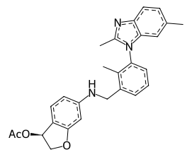 CC(=O)O[C@@H]1COc2cc(NCc3cccc(-n4c(C)nc5ccc(C)cc54)c3C)ccc21